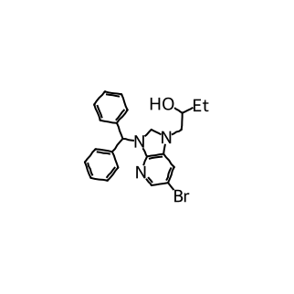 CCC(O)CN1CN(C(c2ccccc2)c2ccccc2)c2ncc(Br)cc21